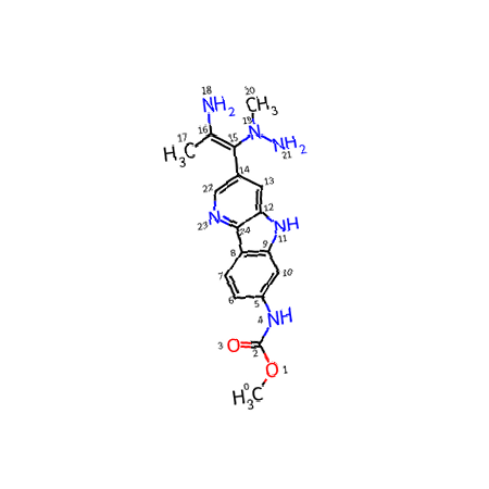 COC(=O)Nc1ccc2c(c1)[nH]c1cc(/C(=C(\C)N)N(C)N)cnc12